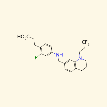 O=C(O)CCc1ccc(NCc2ccc3c(c2)N(CCC(F)(F)F)CCC3)cc1F